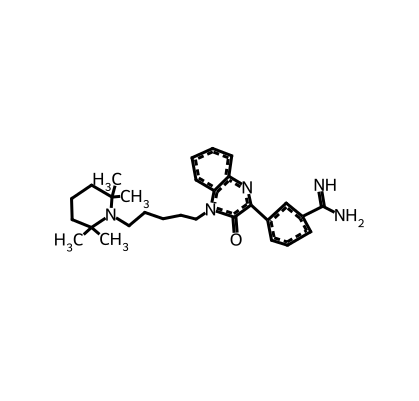 CC1(C)CCCC(C)(C)N1CCCCCn1c(=O)c(-c2cccc(C(=N)N)c2)nc2ccccc21